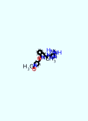 CC(=O)N1CCC(COc2nc(C(C)Nc3ncnc4[nH]cnc34)cc3ccccc23)CC1